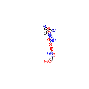 CCN(CC)c1ccc2c(-c3ccccc3C(=O)N3CCN(CC(=O)NCCOCCOCCNC(=O)/C=C/c4ccc(O)cc4)CC3)c3ccc(=[N+](CC)CC)cc-3oc2c1